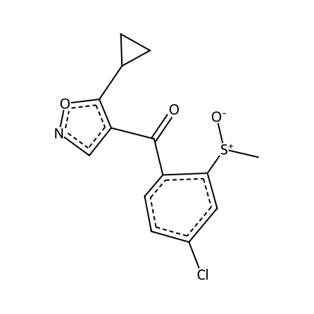 C[S+]([O-])c1cc(Cl)ccc1C(=O)c1cnoc1C1CC1